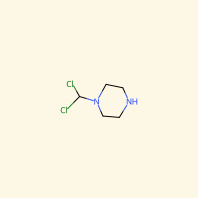 ClC(Cl)N1CCNCC1